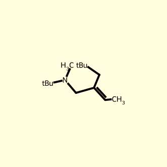 C/C=C(/CN(C)C(C)(C)C)CC(C)(C)C